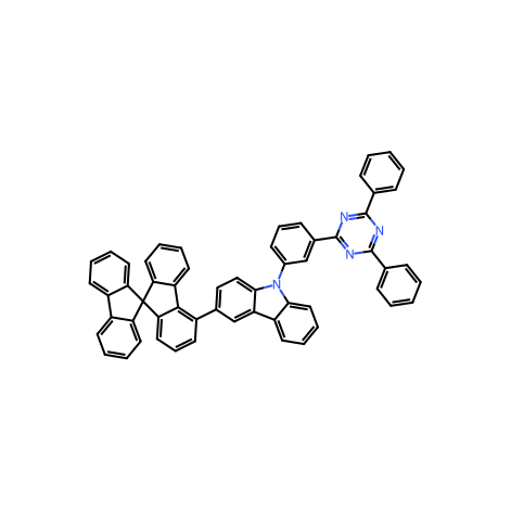 c1ccc(-c2nc(-c3ccccc3)nc(-c3cccc(-n4c5ccccc5c5cc(-c6cccc7c6-c6ccccc6C76c7ccccc7-c7ccccc76)ccc54)c3)n2)cc1